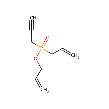 C#CCP(=O)(CC=C)OCC=C